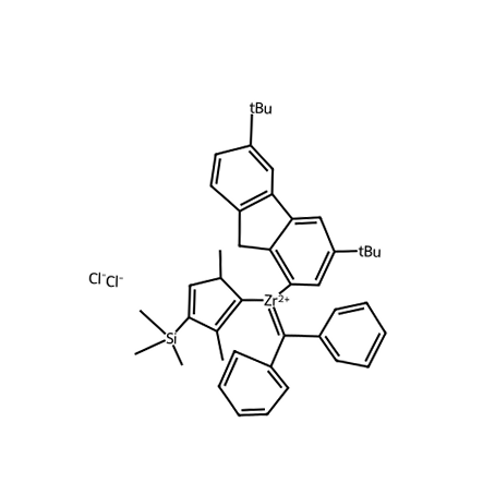 CC1=[C]([Zr+2](=[C](c2ccccc2)c2ccccc2)[c]2cc(C(C)(C)C)cc3c2Cc2ccc(C(C)(C)C)cc2-3)C(C)C=C1[Si](C)(C)C.[Cl-].[Cl-]